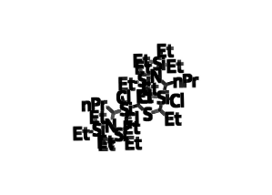 CCCC(N([Si](CC)(CC)CC)[Si](CC)(CC)CC)[Si](Cl)(Cl)C(CC)SC(CC)[Si](Cl)(Cl)C(CCC)N([Si](CC)(CC)CC)[Si](CC)(CC)CC